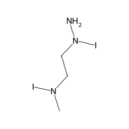 CN(I)CCN(N)I